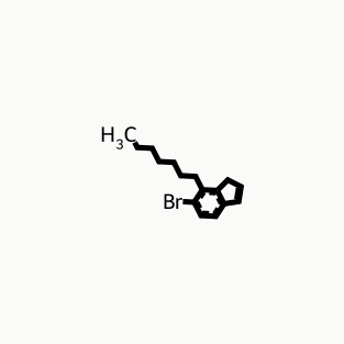 CCCCCCCc1c(Br)ccc2c1CC=C2